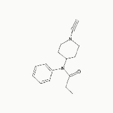 C#CN1CCC(N(C(=O)CC)c2ccccc2)CC1